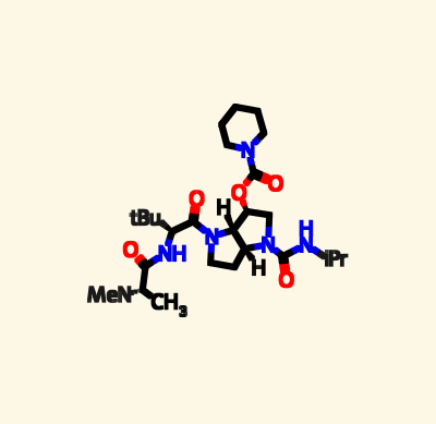 CN[C@@H](C)C(=O)N[C@H](C(=O)N1CC[C@@H]2[C@H]1[C@@H](OC(=O)N1CCCCC1)CN2C(=O)NC(C)C)C(C)(C)C